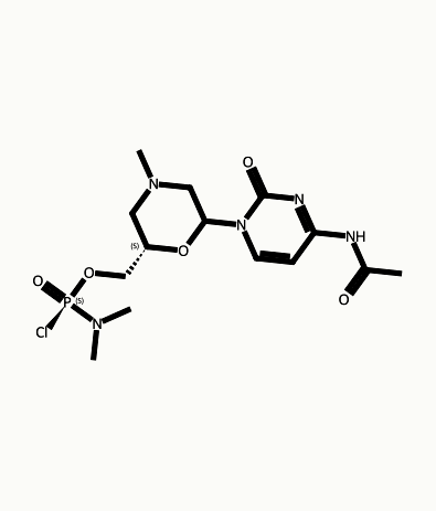 CC(=O)Nc1ccn(C2CN(C)C[C@@H](CO[P@](=O)(Cl)N(C)C)O2)c(=O)n1